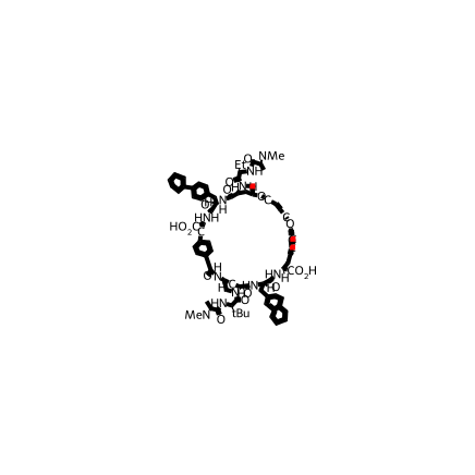 CC[C@H](NC(=O)[C@H](C)NC)C(=O)N1C[C@@H]2C[C@H]1C(=O)N[C@@H](Cc1ccc(-c3ccccc3)cc1)C(=O)N[C@H](C(=O)O)Cc1ccc(cc1)C(=O)N[C@H]1C[C@@H](C(=O)N[C@@H](Cc3ccc4ccccc4c3)C(=O)N[C@H](C(=O)O)Cc3ccc(cc3)OC/C=C/CO2)N(C(=O)[C@@H](NC(=O)[C@H](C)NC)C(C)(C)C)C1